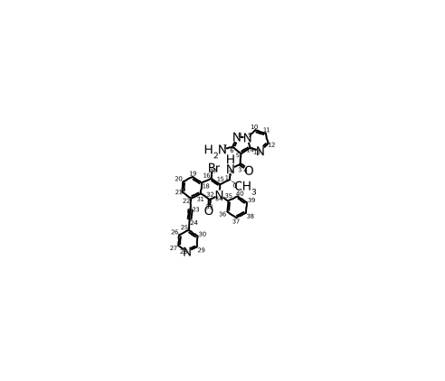 C[C@@H](NC(=O)c1c(N)nn2cccnc12)c1c(Br)c2cccc(C#Cc3ccncc3)c2c(=O)n1-c1ccccc1